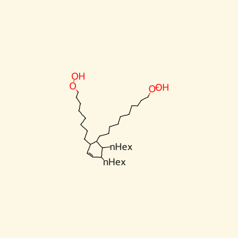 CCCCCCC1C=CC(CCCCCCCCOO)C(CCCCCCCCCCOO)C1CCCCCC